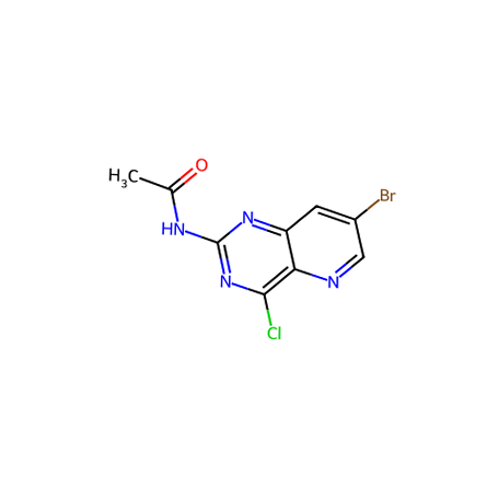 CC(=O)Nc1nc(Cl)c2ncc(Br)cc2n1